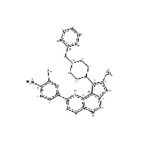 Cc1cc(-c2ccc3ncc4nc(C)n(C5CCN(Cc6ccccn6)CC5)c4c3n2)cnc1N